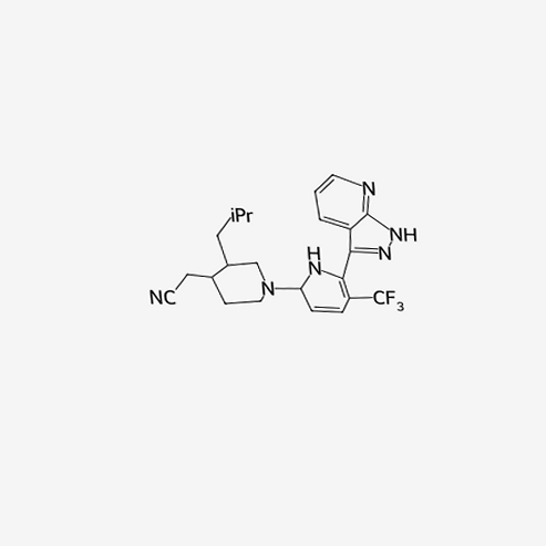 CC(C)CC1CN(C2C=CC(C(F)(F)F)=C(c3n[nH]c4ncccc34)N2)CCC1CC#N